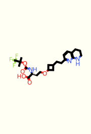 CC(C)(OC(=O)N[C@@H](CCOC1CC(CCc2ccc3c(n2)NCCC3)C1)C(=O)O)C(F)(F)F